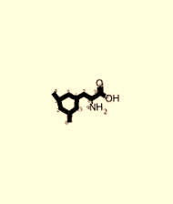 CC1CC(C)CC(C[C@@H](N)C(=O)O)C1